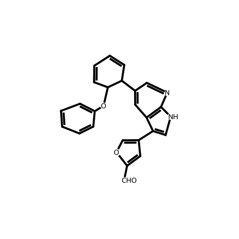 O=Cc1cc(-c2c[nH]c3ncc(C4C=CC=CC4Oc4ccccc4)cc23)co1